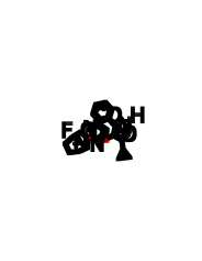 O=C(O)c1ccnc(N2C3CCC2CC(OCc2c(-c4ccccc4OC(F)(F)F)noc2C2CC2)C3)n1